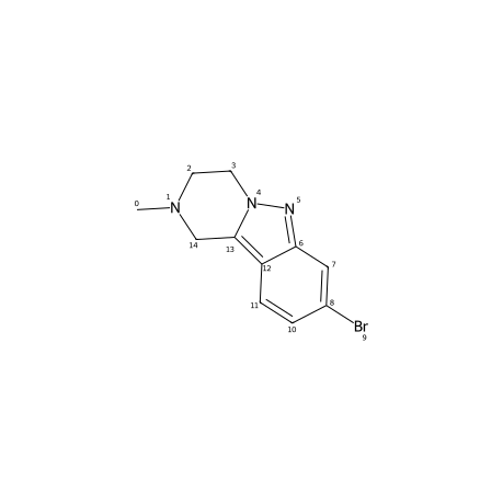 CN1CCn2nc3cc(Br)ccc3c2C1